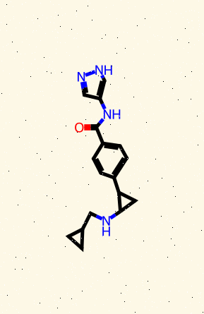 O=C(Nc1cn[nH]c1)c1ccc(C2CC2NCC2CC2)cc1